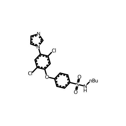 CCCCNS(=O)(=O)c1ccc(Oc2cc(Cl)c(-n3ccnc3)cc2Cl)cc1